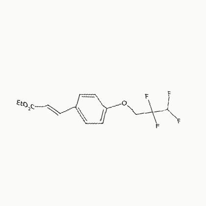 CCOC(=O)/C=C/c1ccc(OCC(F)(F)C(F)F)cc1